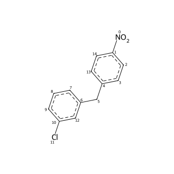 O=[N+]([O-])c1ccc(Cc2cccc(Cl)c2)cc1